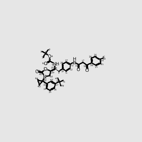 CC(C)(C)OC(=O)N[C@@H](Cc1ccc(NC(=O)CC(=O)c2ccc(F)cc2)cc1)C1CN(C2(c3cccc(C(C)(C)C)c3)CC2)C(=O)O1